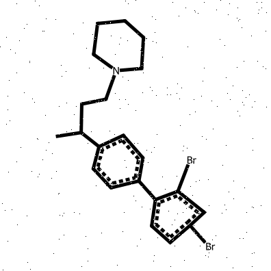 CC(CCN1CCCCC1)c1ccc(-c2ccc(Br)cc2Br)cc1